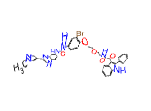 Cn1cc(-c2cnc3ccc(NC(=O)Nc4ccc(OCCOCCNC(=O)C(=O)c5c(-c6ccccc6)[nH]c6ccccc56)c(Br)c4)cc3n2)cn1